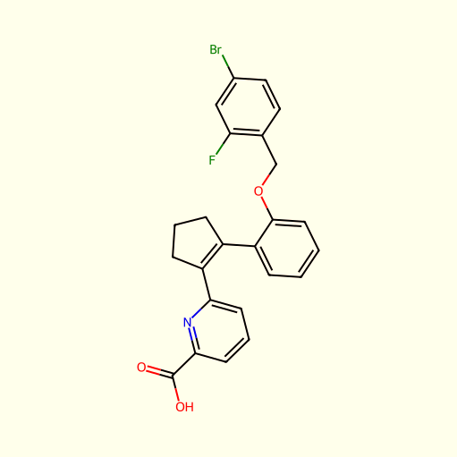 O=C(O)c1cccc(C2=C(c3ccccc3OCc3ccc(Br)cc3F)CCC2)n1